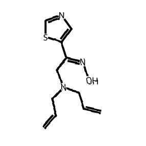 C=CCN(CC=C)CC(=NO)c1cncs1